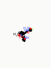 CC(C)(C)C1(N(CCc2c[nH]c3ccccc23)C(=O)O)CCc2cc(/C=C/C(=O)Nc3ccc(F)cc3N)ccc21